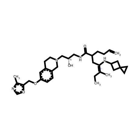 C=CCCC(C/C(NC1CC2(CC2)C1)=C(/C)CC)C(=O)NC[C@H](O)CN1CCc2cc(OCc3ocnc3C)ccc2C1